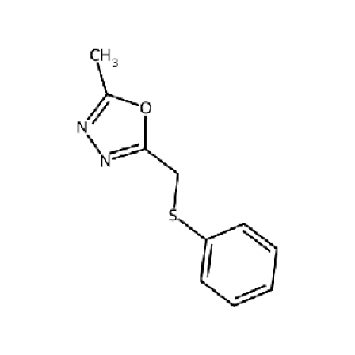 Cc1nnc(CSc2ccccc2)o1